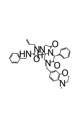 C=CCN(C(=O)NCc1ccccc1)N1CC(=O)N2[C@@H](c3ccccc3)C(=O)N(Cc3ccc4c(c3)OCCN4C)C[C@@H]21